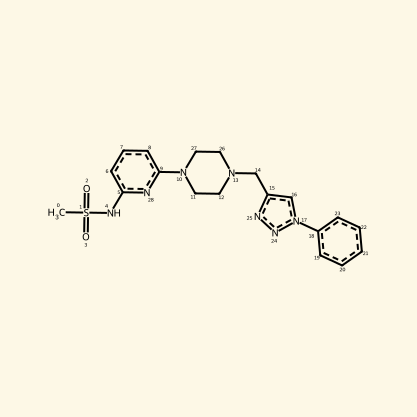 CS(=O)(=O)Nc1cccc(N2CCN(Cc3cn(-c4ccccc4)nn3)CC2)n1